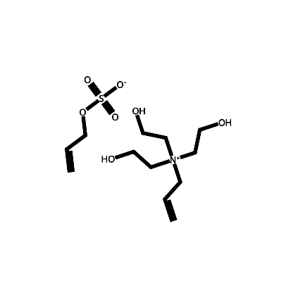 C=CCOS(=O)(=O)[O-].C=CC[N+](CCO)(CCO)CCO